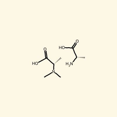 C[C@@H](C(=O)O)N(C)C.C[C@H](N)C(=O)O